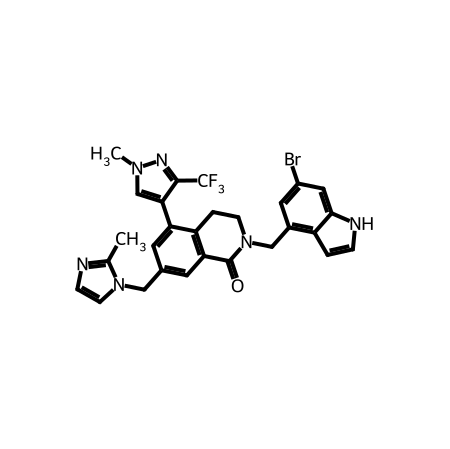 Cc1nccn1Cc1cc2c(c(-c3cn(C)nc3C(F)(F)F)c1)CCN(Cc1cc(Br)cc3[nH]ccc13)C2=O